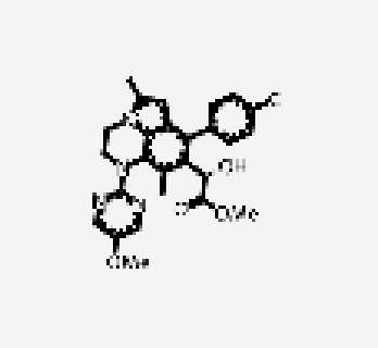 COC(=O)[C@@H](O)c1c(C)c2c3c(cc(C)n3CCN2c2ncc(OC)cn2)c1-c1ccc(Cl)cc1